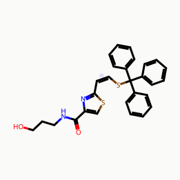 O=C(NCCCO)c1csc(/C=C\SC(c2ccccc2)(c2ccccc2)c2ccccc2)n1